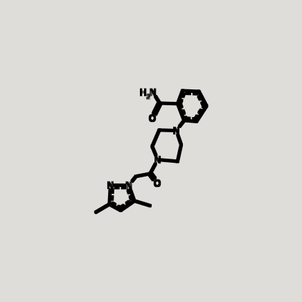 Cc1cc(C)n(CC(=O)N2CCN(c3ccccc3C(N)=O)CC2)n1